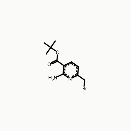 CC(C)(C)OC(=O)c1ccc(CBr)nc1N